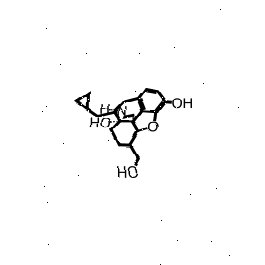 OCC1CC[C@@]2(O)[C@H]3Cc4ccc(O)c5c4[C@@]2(CCN3CC2CC2)C1O5